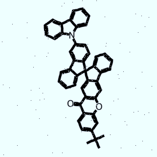 CC(C)(C)c1ccc2c(=O)c3cc4c(cc3oc2c1)-c1ccccc1C41c2ccccc2-c2cc(-n3c4ccccc4c4ccccc43)ccc21